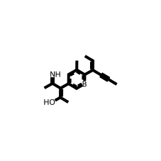 CC#C/C(=C/C)c1bcc(/C(C(C)=N)=C(\C)O)cc1C